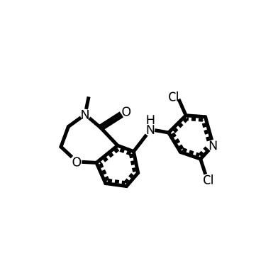 CN1CCOc2cccc(Nc3cc(Cl)ncc3Cl)c2C1=O